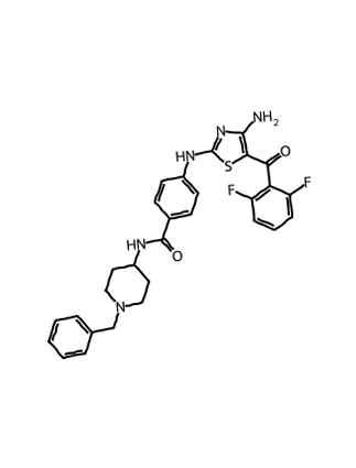 Nc1nc(Nc2ccc(C(=O)NC3CCN(Cc4ccccc4)CC3)cc2)sc1C(=O)c1c(F)cccc1F